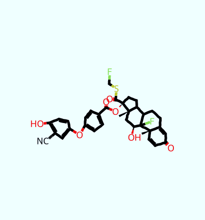 C[C@]12C=CC(=O)C=C1CCC1C3CC[C@](OC(=O)c4ccc(Oc5ccc(O)c(C#N)c5)cc4)(C(=O)SCF)[C@@]3(C)C[C@H](O)C12F